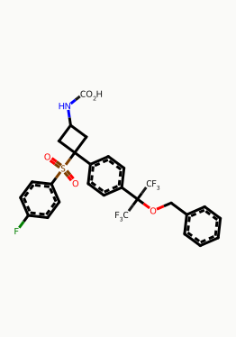 O=C(O)NC1CC(c2ccc(C(OCc3ccccc3)(C(F)(F)F)C(F)(F)F)cc2)(S(=O)(=O)c2ccc(F)cc2)C1